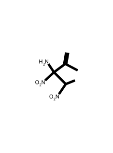 C=C(C)C(N)(C(C)[N+](=O)[O-])[N+](=O)[O-]